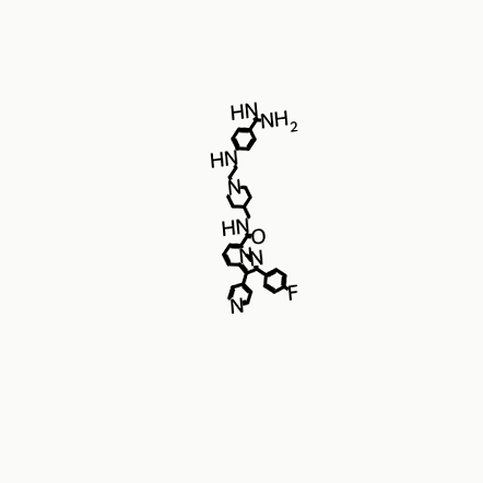 N=C(N)c1ccc(NCCN2CCC(CNC(=O)c3cccc4c(-c5ccncc5)c(-c5ccc(F)cc5)nn34)CC2)cc1